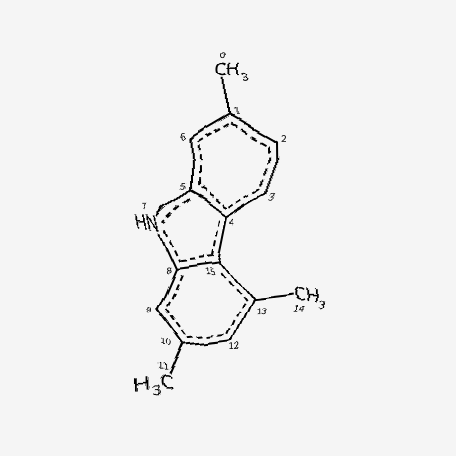 Cc1ccc2c(c1)[nH]c1cc(C)cc(C)c12